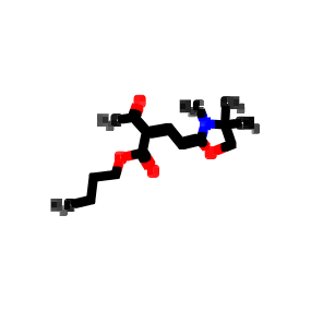 CCCCOC(=O)C(=CC=C1OCC(C)(C)N1C)C(C)=O